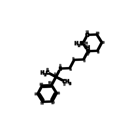 CC(C)(SCCC[SiH]1CCCO[SiH2]1)c1ccccc1